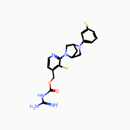 N=C(N)NC(=O)OCc1ccnc(N2CC3CC2CN3c2cccc(F)c2)c1F